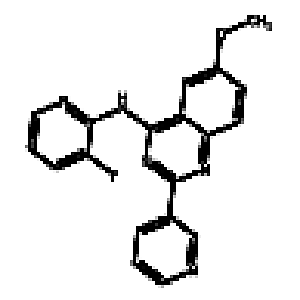 COc1ccc2nc(-c3cccnc3)nc(Nc3ncccc3F)c2c1